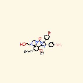 Bc1ccc([C@@H]2N=C(c3ccc(OC)cc3OCC)N(C(=O)N3CCN(CCO)CC3)[C@@H]2c2ccc(Br)cc2)cc1